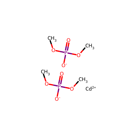 COP(=O)([O-])OC.COP(=O)([O-])OC.[Cd+2]